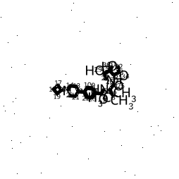 CC(C)(C)[C@H](NC(=O)c1ccc(C2CCN(C3CCC3)CC2)cc1)C(=O)N1C[C@@H](O)[C@H]2OCC(=O)[C@H]21